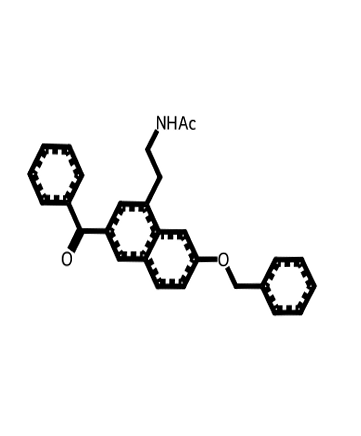 CC(=O)NCCc1cc(C(=O)c2ccccc2)cc2ccc(OCc3ccccc3)cc12